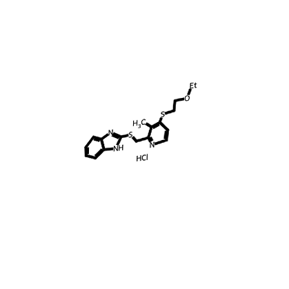 CCOCCSc1ccnc(CSc2nc3ccccc3[nH]2)c1C.Cl